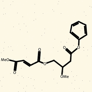 COC(=O)C=CC(=O)OCC(CC(=O)Oc1ccccc1)OC